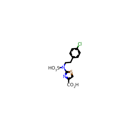 O=C(O)c1csc(N(CCc2ccc(Cl)cc2)S(=O)(=O)O)n1